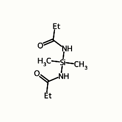 CCC(=O)N[Si](C)(C)NC(=O)CC